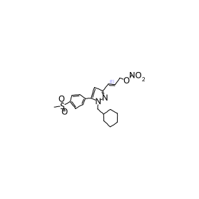 CS(=O)(=O)c1ccc(-c2cc(/C=C/CO[N+](=O)[O-])nn2CC2CCCCC2)cc1